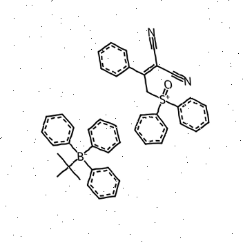 CC(C)(C)[B-](c1ccccc1)(c1ccccc1)c1ccccc1.N#CC(C#N)=C(C[S+](=O)(c1ccccc1)c1ccccc1)c1ccccc1